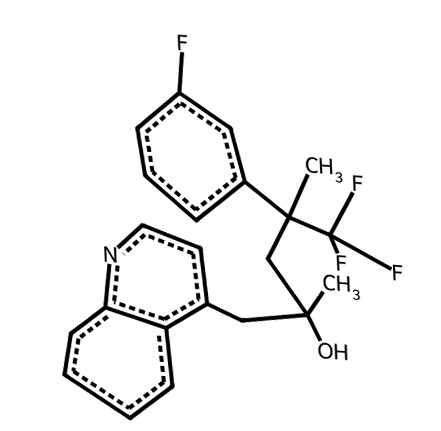 CC(O)(Cc1ccnc2ccccc12)CC(C)(c1cccc(F)c1)C(F)(F)F